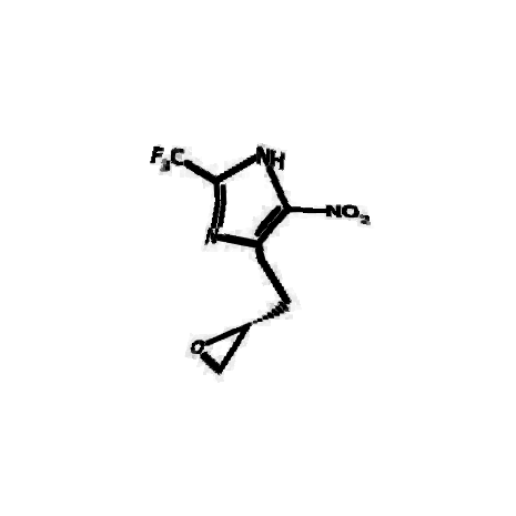 O=[N+]([O-])c1[nH]c(C(F)(F)F)nc1C[C@@H]1CO1